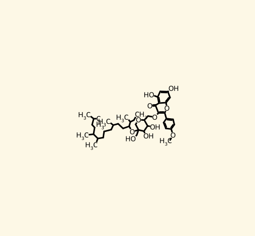 CCC(C)C(CCC(C)CCCC(C)C(C)CCC(C)C)OC1(CO)COC(COc2c(-c3ccc(OC)cc3)oc3cc(O)cc(O)c3c2=O)C(O)C1O